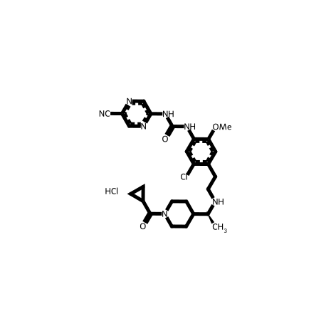 COc1cc(CCN[C@@H](C)C2CCN(C(=O)C3CC3)CC2)c(Cl)cc1NC(=O)Nc1cnc(C#N)cn1.Cl